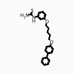 NC(=S)Nc1cccc(OCCCCCOc2ccc(-c3ccccc3)cc2)c1